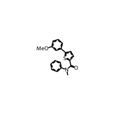 COc1cccc(-c2ccc(C(=O)N(C)c3ccccc3)s2)c1